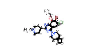 CN1CCC(c2nc(N3CCC4(CCC4)CC3)c3cc(Cl)c(Br)c(OCC(F)(F)F)c3n2)CC1